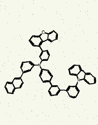 c1cc(-c2ccc(N(c3cccc(-c4ccc5ccccc5c4)c3)c3cccc(-c4cccc5oc6ccccc6c45)c3)cc2)cc(-c2cccc(-n3c4ccccc4c4ccccc43)c2)c1